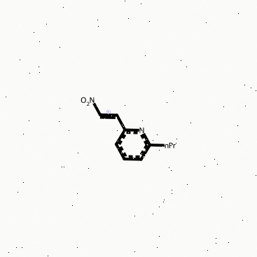 CCCc1cccc(/C=C/[N+](=O)[O-])n1